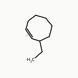 [CH2]CC1/C=C\CCCCC1